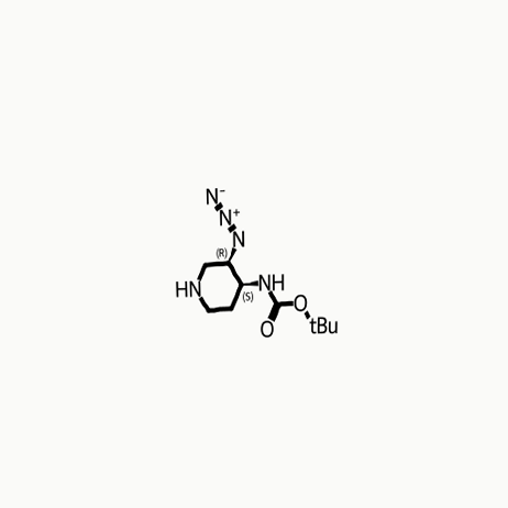 CC(C)(C)OC(=O)N[C@H]1CCNC[C@H]1N=[N+]=[N-]